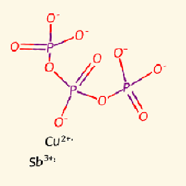 O=P([O-])([O-])OP(=O)([O-])OP(=O)([O-])[O-].[Cu+2].[Sb+3]